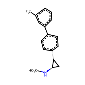 O=C(O)N[C@@H]1C[C@H]1c1ccc(-c2cccc(C(F)(F)F)c2)cc1